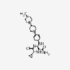 CN1CCN(C2CCN(C3=CCC(NC4=C(C(N)=O)NC(C5CC5)C(Cl)=N4)C=C3)CC2)CC1